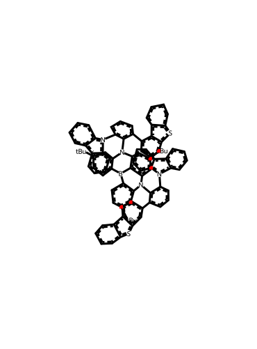 CC(C)(C)c1ccc2c(c1)N(c1c(-c3ccc4c(c3)sc3ccccc34)cccc1-n1c3ccccc3c3ccccc31)c1cc(C(C)(C)C)cc3c1B2c1ccc(C(C)(C)C)cc1N3c1c(-c2cccc3sc4ccccc4c23)cccc1-n1c2ccccc2c2ccccc21